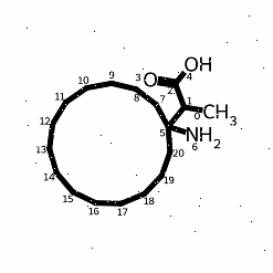 CC(C(=O)O)C1(N)CCCCCCCCCCCCCC1